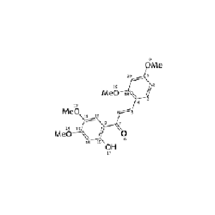 COc1ccc(C=CC(=O)c2cc(OC)c(OC)cc2O)c(OC)c1